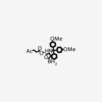 B[C@H]1C[C@H](NC(c2ccccc2)(c2ccc(OC)cc2)c2ccc(OC)cc2)[C@@H](COC(=O)CCC(C)=O)O1